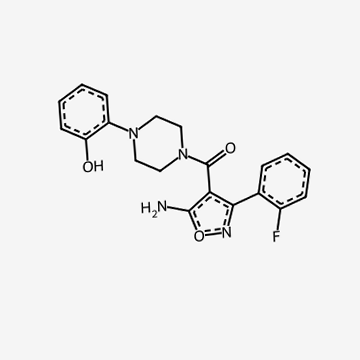 Nc1onc(-c2ccccc2F)c1C(=O)N1CCN(c2ccccc2O)CC1